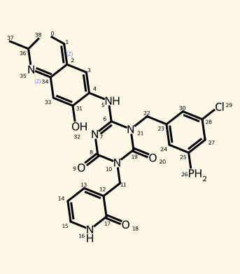 C/C=C1/C=C(Nc2nc(=O)n(Cc3ccc[nH]c3=O)c(=O)n2Cc2cc(P)cc(Cl)c2)C(O)=C/C1=N/C(C)C